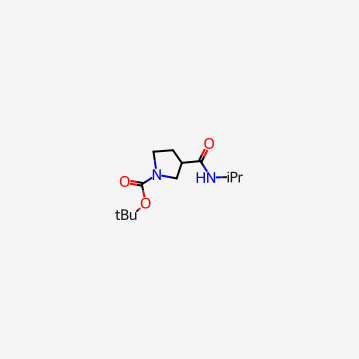 CC(C)NC(=O)C1CCN(C(=O)OC(C)(C)C)C1